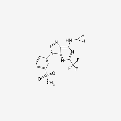 CS(=O)(=O)c1cccc(-n2cnc3c(NC4CC4)nc(C(F)(F)F)nc32)c1